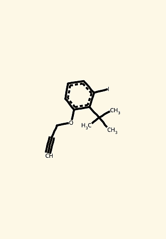 C#CCOc1cccc(I)c1C(C)(C)C